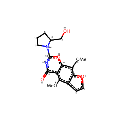 COc1c2occc2c(OC)c2c(=O)nc(N3CCCC3CO)oc12